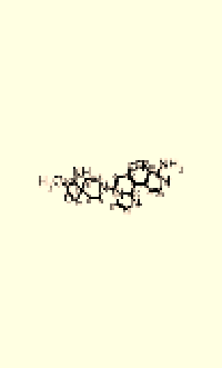 Cc1cc(N2CCC3(CC2)COC(C)C3N)n2ccnc2c1-c1ccnc(N)c1Cl